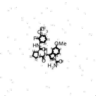 COc1ccc2c(c1)c(NC(=O)N1CCC[C@H]1C(=O)Nc1cccc(OC(F)(F)F)c1F)cn2C(N)=O